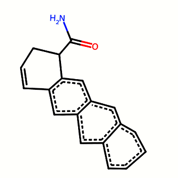 NC(=O)C1CC=Cc2cc3cc4ccccc4cc3cc21